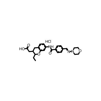 CCC1Oc2cc(NC(=O)c3ccc(C=NN4CCOCC4)cc3)ccc2CC1CC(=O)O.Cl